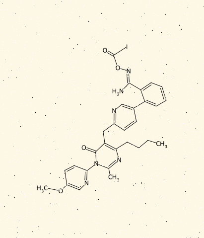 CCCCc1nc(C)n(-c2ccc(OC)cn2)c(=O)c1Cc1ccc(-c2ccccc2/C(N)=N/OC(=O)I)cn1